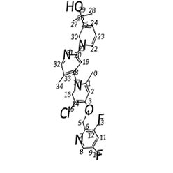 CC1=CC(OCc2ncc(F)cc2F)=C(Cl)CN1c1cc(N2C=CC=C(C(C)(C)O)C2)ncc1C